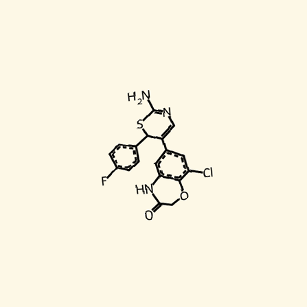 NC1=NC=C(c2cc(Cl)c3c(c2)NC(=O)CO3)C(c2ccc(F)cc2)S1